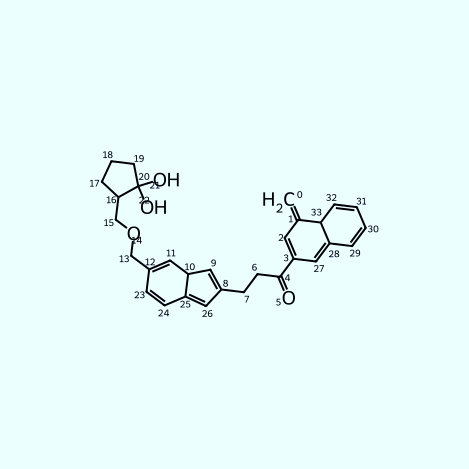 C=C1C=C(C(=O)CCC2=CC3C=C(COCC4CCCC4(O)O)C=CC3=C2)C=C2C=CC=CC12